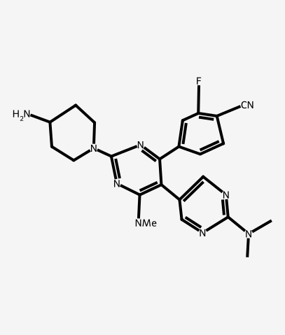 CNc1nc(N2CCC(N)CC2)nc(-c2ccc(C#N)c(F)c2)c1-c1cnc(N(C)C)nc1